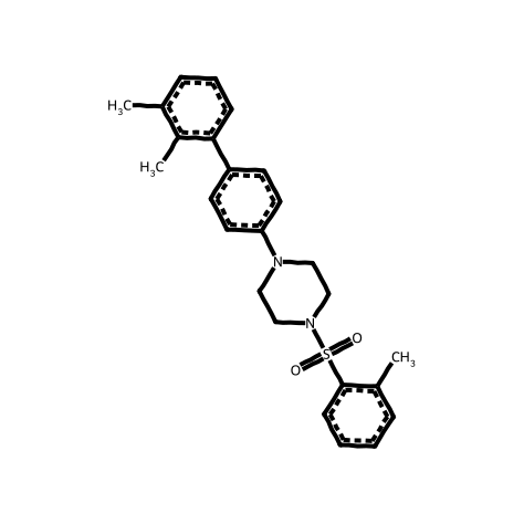 Cc1ccccc1S(=O)(=O)N1CCN(c2ccc(-c3cccc(C)c3C)cc2)CC1